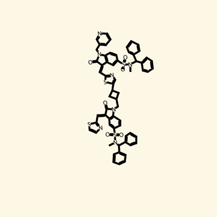 CN(C(c1ccccc1)c1ccccc1)S(=O)(=O)c1ccc2c(c1)/C(=C\c1ncc(C3CC(CN4C(=O)/C(=C/c5nccs5)c5cc(S(=O)(=O)N(C)C(c6ccccc6)c6ccccc6)ccc54)C3)s1)C(=O)N2Cc1cccnc1